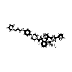 CC(C(=O)N1CCN(c2ccc(OCCCN3CCCC3)cc2)CC1)(c1ccccc1)n1ncc2c1nc(N)n1nc(-c3ccco3)nc21